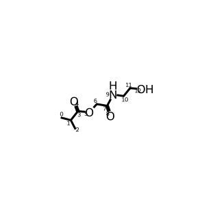 CC(C)C(=O)OCC(=O)NCCO